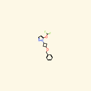 FC(F)Oc1ccnn1C1CC(OCc2ccccc2)C1